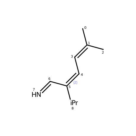 CC(C)=C/C=C(\C=N)C(C)C